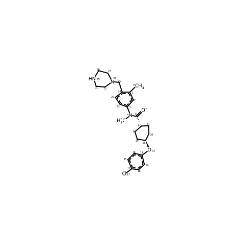 Cc1cc(N(C)C(=O)[C@H]2CC[C@H](Oc3ccc(Cl)cc3)CC2)ccc1CN1CCNCC1